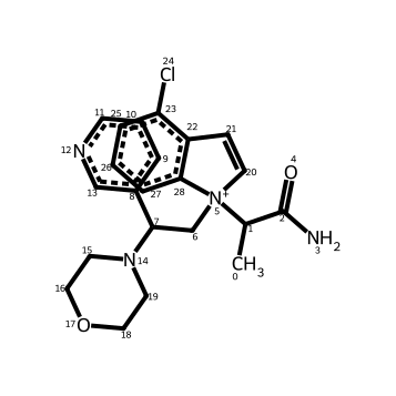 CC(C(N)=O)[N+]1(CC(c2cccnc2)N2CCOCC2)C=Cc2c(Cl)cccc21